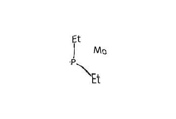 CC[P]CC.[Mo]